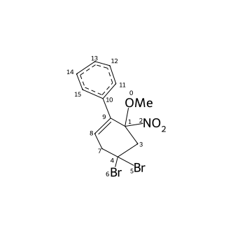 COC1([N+](=O)[O-])CC(Br)(Br)CC=C1c1ccccc1